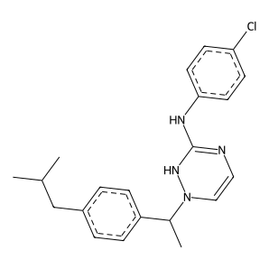 CC(C)Cc1ccc(C(C)N2C=CN=C(Nc3ccc(Cl)cc3)N2)cc1